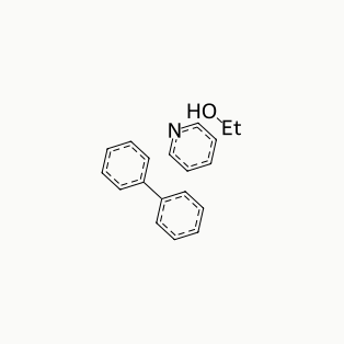 CCO.c1ccc(-c2ccccc2)cc1.c1ccncc1